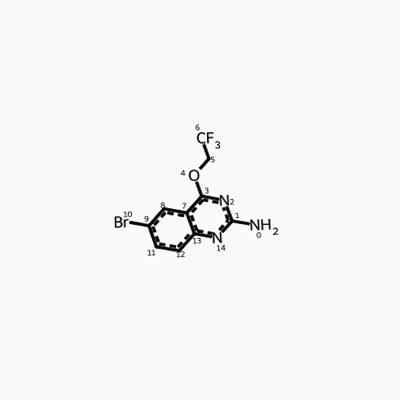 Nc1nc(OCC(F)(F)F)c2cc(Br)ccc2n1